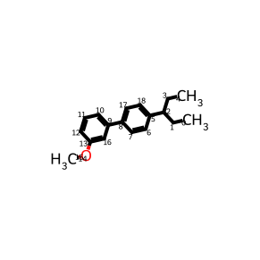 CCC(CC)c1ccc(-c2cccc(OC)c2)cc1